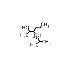 CC(C)O.CCCC(O)C(C)O